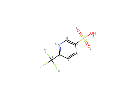 O=S(=O)(O)c1ccc(C(F)(F)F)nc1